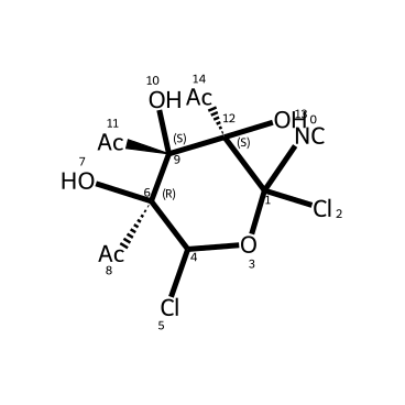 [C-]#[N+]C1(Cl)OC(Cl)[C@](O)(C(C)=O)[C@@](O)(C(C)=O)[C@]1(O)C(C)=O